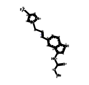 CC(C)(C)OC(=O)Nc1c[nH]c2ccc(/C=C/Cn3cc(C(F)(F)F)cn3)cc12